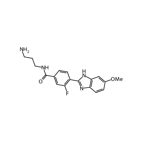 COc1ccc2nc(-c3ccc(C(=O)NCCCN)cc3F)[nH]c2c1